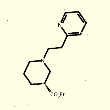 CCOC(=O)[C@H]1CCCN(CCc2ccccn2)C1